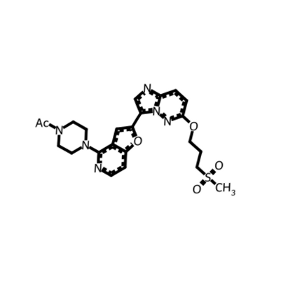 CC(=O)N1CCN(c2nccc3oc(-c4cnc5ccc(OCCCS(C)(=O)=O)nn45)cc23)CC1